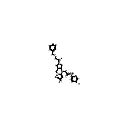 CCc1cc2n(n1)CC1=C(CN([C@H](C)COCc3ccccc3)C1)N2CC(=O)Nc1ccc(F)cn1